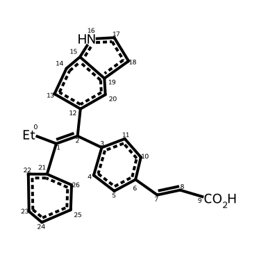 CC/C(=C(/c1ccc(/C=C/C(=O)O)cc1)c1ccc2[nH]ccc2c1)c1ccccc1